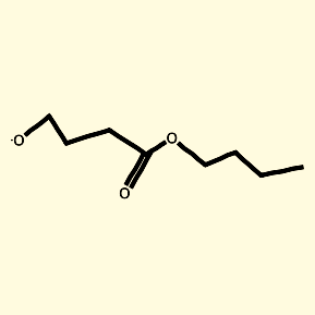 CCCCOC(=O)CCC[O]